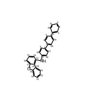 c1ccc(-c2ccc(-c3ccc(Nc4cccc5oc6ccccc6c45)cc3)cc2)cc1